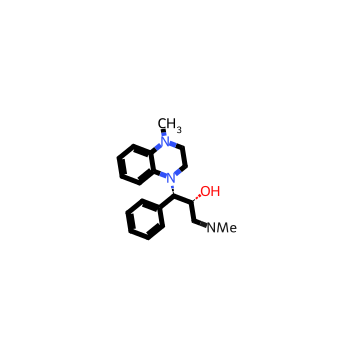 CNC[C@@H](O)[C@H](c1ccccc1)N1CCN(C)c2ccccc21